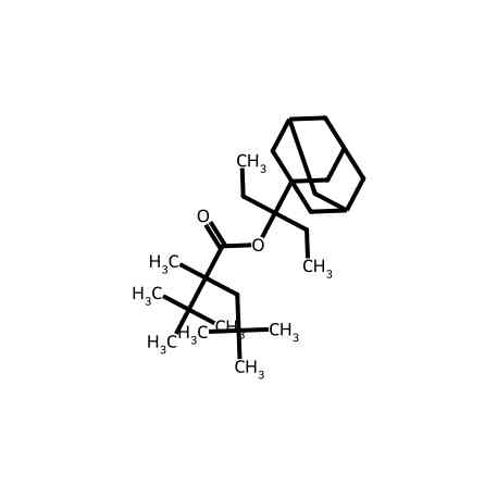 CCC(CC)(OC(=O)C(C)(CC(C)(C)C)C(C)(C)C)C12CC3CC(CC(C3)C1)C2